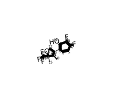 C[C@@H]1[C@@H](c2ccc(F)c(F)c2O)CO[C@]1(C)C(F)(F)F